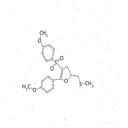 COc1ccc(C2=C(S(=O)(=O)c3ccc(OC)cc3)CC(CSC)O2)cc1